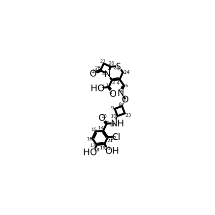 O=C(O)C1=C(C=NO[C@H]2C[C@H](NC(=O)c3ccc(O)c(O)c3Cl)C2)CSC2CC(=O)N12